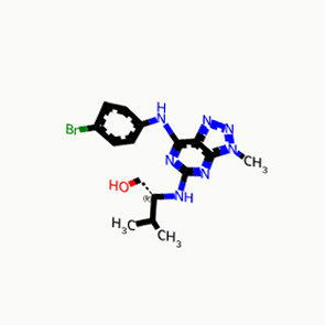 CC(C)[C@H](CO)Nc1nc(Nc2ccc(Br)cc2)c2nnn(C)c2n1